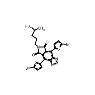 CC(C)CCCN1C(=O)c2c(c(-c3ccc(Br)s3)c3nsnc3c2-c2ccc(Br)s2)C1=O